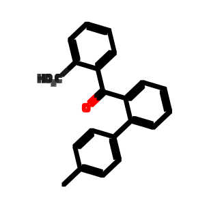 Cc1ccc(-c2ccccc2C(=O)c2ccccc2C(=O)O)cc1